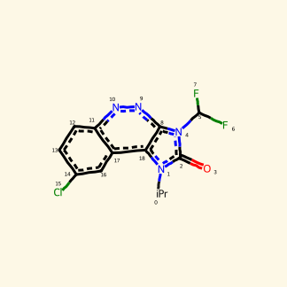 CC(C)n1c(=O)n(C(F)F)c2nnc3ccc(Cl)cc3c21